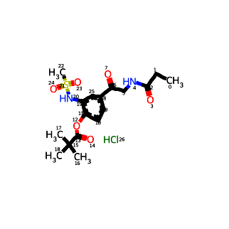 CCC(=O)NCC(=O)c1ccc(OC(=O)C(C)(C)C)c(NS(C)(=O)=O)c1.Cl